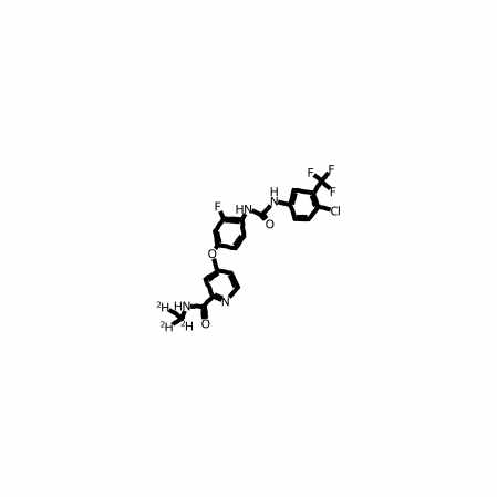 [2H]C([2H])([2H])NC(=O)c1cc(Oc2ccc(NC(=O)Nc3ccc(Cl)c(C(F)(F)F)c3)c(F)c2)ccn1